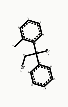 Cc1ccccc1C(Br)(CBr)c1ccccc1